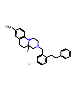 Cl.O=C(O)c1ccc2c(c1)CC[C@H]1CN(Cc3ccccc3CCc3ccccc3)CCN21